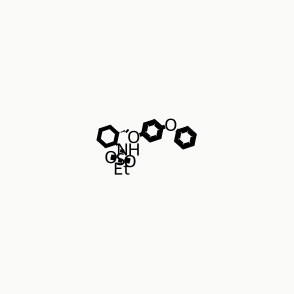 CCS(=O)(=O)N[C@H]1CCCC[C@@H]1COc1ccc(Oc2ccccc2)cc1